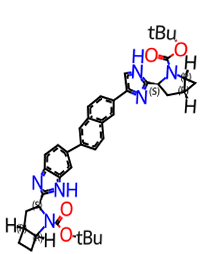 CC(C)(C)OC(=O)N1[C@@H]2C[C@@H]2C[C@H]1c1nc(-c2ccc3cc(-c4ccc5nc([C@@H]6C[C@H]7CC[C@H]7N6C(=O)OC(C)(C)C)[nH]c5c4)ccc3c2)c[nH]1